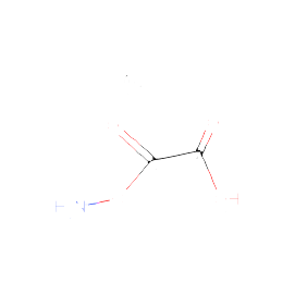 NOC(=O)C(=O)O.[Ag]